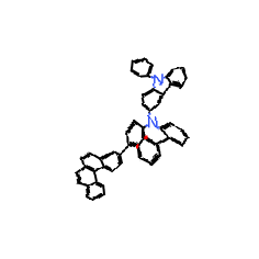 c1ccc(-c2ccccc2N(c2ccc(-c3ccc4c(ccc5ccc6ccccc6c54)c3)cc2)c2ccc3c(c2)c2ccccc2n3-c2ccccc2)cc1